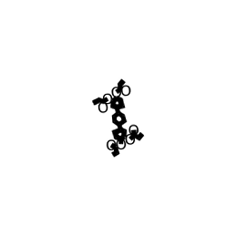 C=CC(=O)Oc1ccc(C2CCC(c3ccc(OC(=O)C=C)c(OC(=O)C=C)c3)CC2)cc1OC(=O)C=C